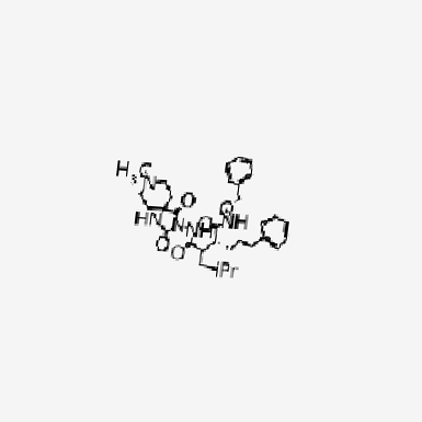 CC(C)CC(C(=O)NN1C(=O)NC2(CCN(C)CC2)C1=O)[C@@H](CCCc1ccccc1)C(=O)NOCc1ccccc1